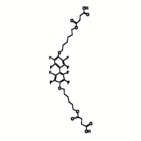 O=C(O)CCC(=O)OCCCCCCOc1c(F)c(F)c(-c2c(F)c(F)c(OCCCCCCOC(=O)CCC(=O)O)c(F)c2F)c(F)c1F